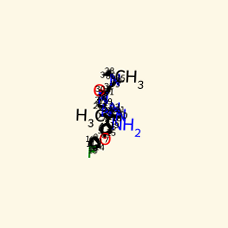 Cc1c(-c2ccc(Oc3cccc(F)c3)cc2)c2c(N)ncnc2n1[C@@H]1CCN(C(=O)C=CCN(C)C2CC2)C1